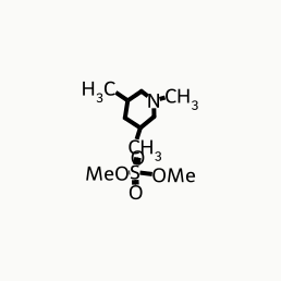 CC1CC(C)CN(C)C1.COS(=O)(=O)OC